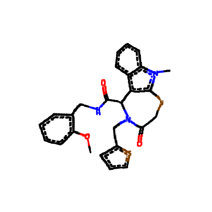 COc1ccccc1CNC(=O)C1c2c(n(C)c3ccccc23)SCC(=O)N1Cc1cccs1